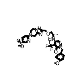 COc1ccc(Cn2ncc(N[C@@H](C)COCc3nc4n(n3)CCN(c3ccc(S(C)(=O)=O)cn3)C4)c(C(F)(F)F)c2=O)cc1